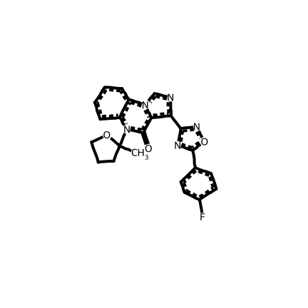 CC1(n2c(=O)c3c(-c4noc(-c5ccc(F)cc5)n4)ncn3c3ccccc32)CCCO1